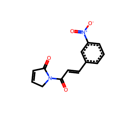 O=C1C=CCN1C(=O)C=Cc1cccc([N+](=O)[O-])c1